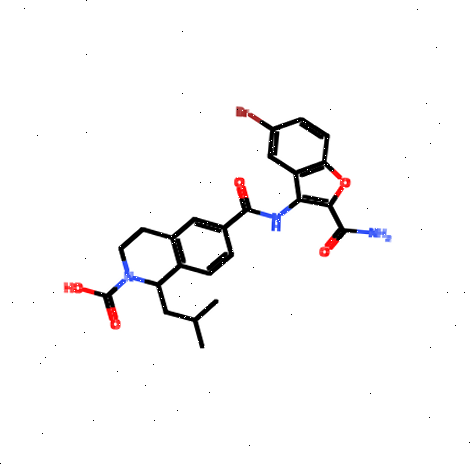 CC(C)CC1c2ccc(C(=O)Nc3c(C(N)=O)oc4ccc(Br)cc34)cc2CCN1C(=O)O